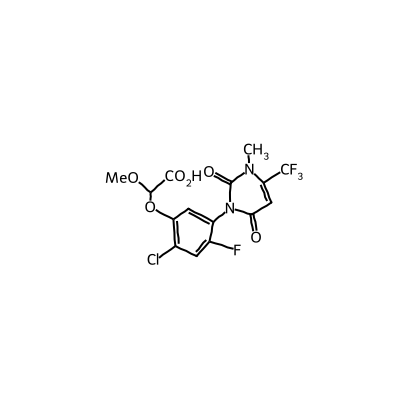 COC(Oc1cc(-n2c(=O)cc(C(F)(F)F)n(C)c2=O)c(F)cc1Cl)C(=O)O